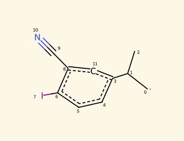 [CH2]C(C)c1ccc(I)c(C#N)c1